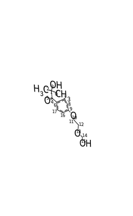 CC(C)(O)C(=O)c1ccc(OCCOCO)cc1